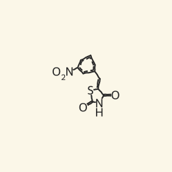 O=C1NC(=O)C(=Cc2cccc([N+](=O)[O-])c2)S1